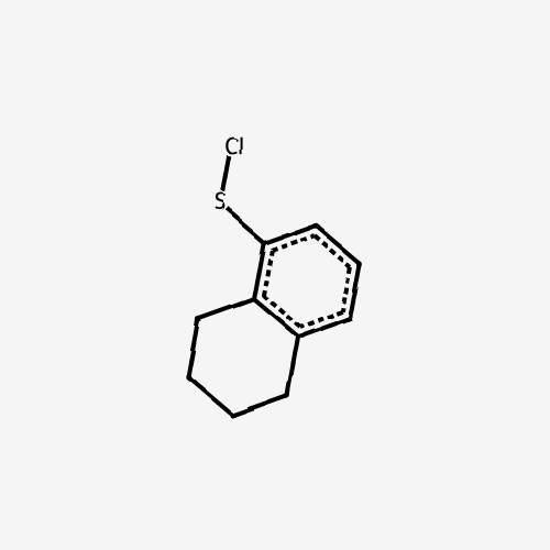 ClSc1cccc2c1CCCC2